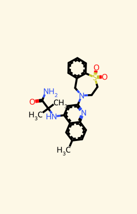 Cc1ccc2nc(N3CCS(=O)(=O)c4ccccc4C3)cc(NC(C)(C)C(N)=O)c2c1